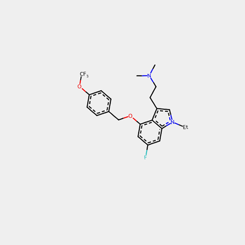 CCn1cc(CCN(C)C)c2c(OCc3ccc(OC(F)(F)F)cc3)cc(F)cc21